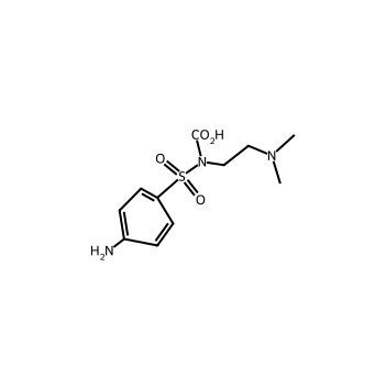 CN(C)CCN(C(=O)O)S(=O)(=O)c1ccc(N)cc1